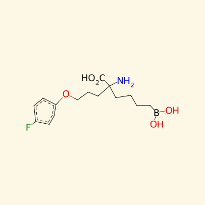 NC(CCCCB(O)O)(CCCOc1ccc(F)cc1)C(=O)O